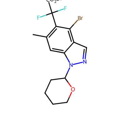 CCOC(=O)C(F)(F)c1c(C)cc2c(cnn2C2CCCCO2)c1Br